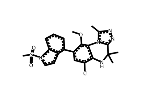 COc1c(-c2cccc3c2ccn3S(C)(=O)=O)cc(Cl)c2c1-n1c(C)nnc1C(C)(C)N2